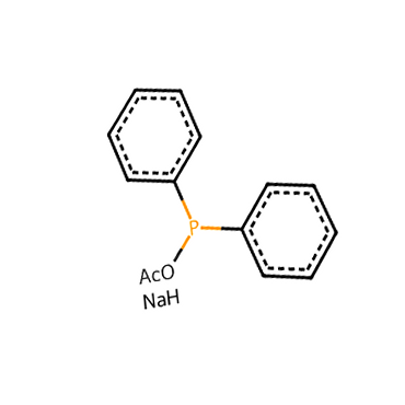 CC(=O)OP(c1ccccc1)c1ccccc1.[NaH]